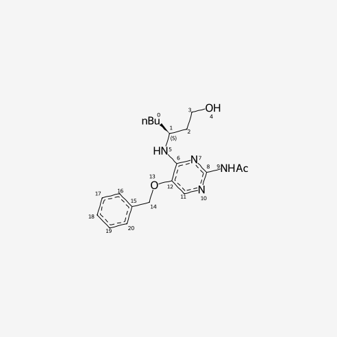 CCCC[C@@H](CCO)Nc1nc(NC(C)=O)ncc1OCc1ccccc1